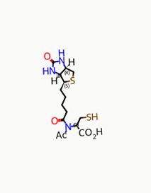 CC(=O)N(C(=O)CCCC[C@@H]1SC[C@@H]2NC(=O)N[C@@H]21)[C@@H](CS)C(=O)O